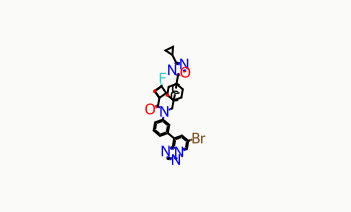 O=C(N(CC12CCC(c3nc(C4CC4)no3)(CC1)CC2)c1cccc(-c2cc(Br)cn3ncnc23)c1)C12CC(F)(C1)C2